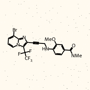 CNC(=O)c1ccc(NCC#Cc2nc3c(Br)cccn3c2C(F)(F)C(F)(F)F)c(OC)c1